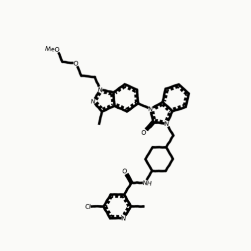 COCOCCn1nc(C)c2cc(-n3c(=O)n(CC4CCC(NC(=O)c5cc(Cl)cnc5C)CC4)c4ccccc43)ccc21